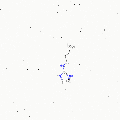 O=C(O)CCCNc1ncc[nH]1